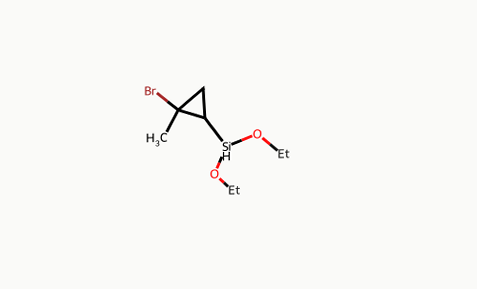 CCO[SiH](OCC)C1CC1(C)Br